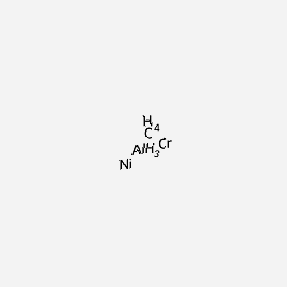 C.[AlH3].[Cr].[Ni]